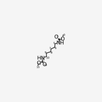 COC(=O)NCCCCCCNC(=O)OC